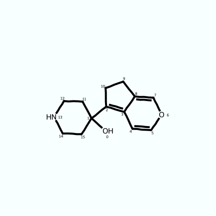 OC1(C2=C3C=COC=C3CC2)CCNCC1